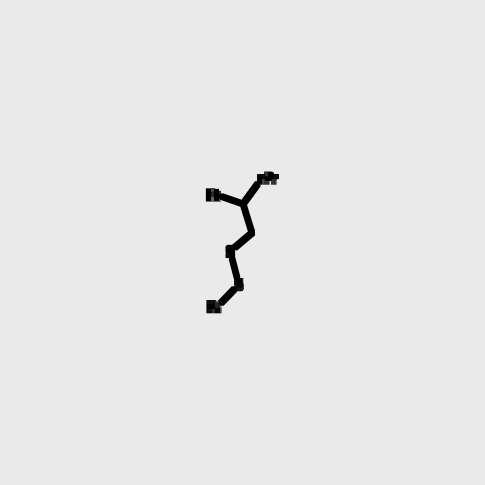 CCCC(CC)CSSCC